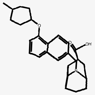 CC1CCC(Oc2cccc3cc(CN4C5CCCC4CC(C(=O)O)C5)ccc23)CC1